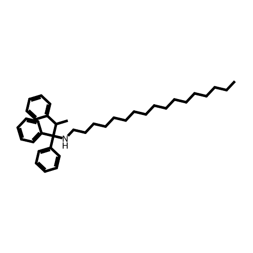 CCCCCCCCCCCCCCCCCNC(c1ccccc1)(c1ccccc1)C(C)c1ccccc1